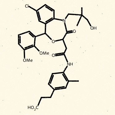 COc1cccc(C2OC(CC(=O)Nc3ccc(CCC(=O)O)cc3C)C(=O)N(CC(C)(C)CO)c3ccc(Cl)cc32)c1OC